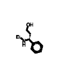 CCN[C@H](CCO)c1ccccc1